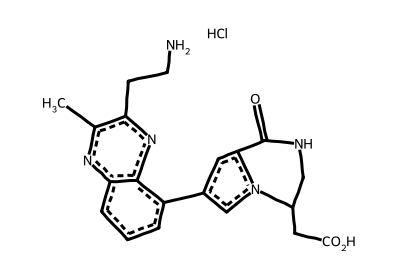 Cc1nc2cccc(-c3cc4n(c3)C(CC(=O)O)CNC4=O)c2nc1CCN.Cl